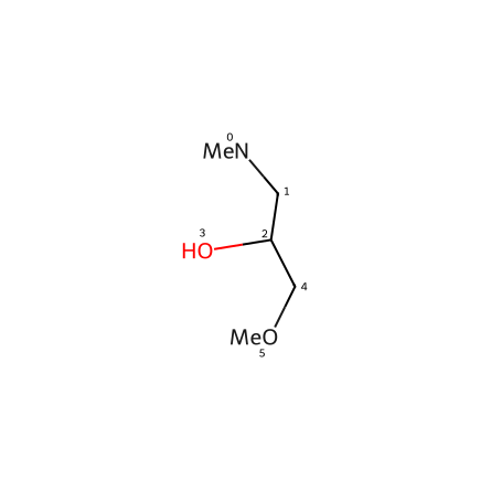 CNCC(O)COC